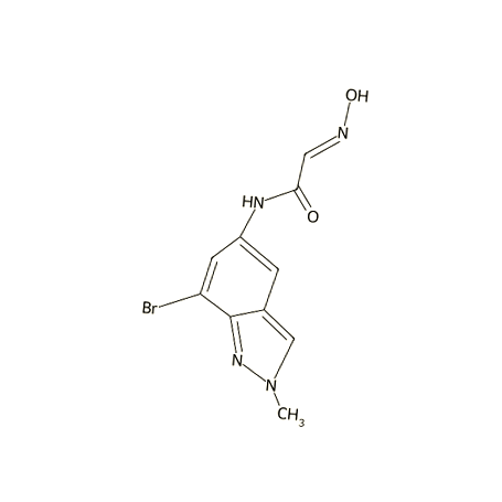 Cn1cc2cc(NC(=O)C=NO)cc(Br)c2n1